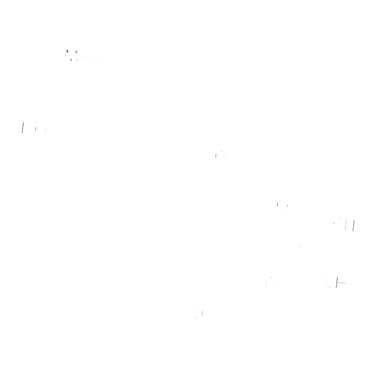 COc1ccc(C(C2CC2)C2C(=O)OC(C)(C)OC2=O)cc1O